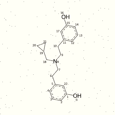 Oc1cccc(CCN(CCc2cccc(O)c2)CC2CC2)c1